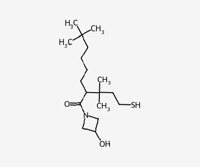 CC(C)(C)CCCCC(C(=O)N1CC(O)C1)C(C)(C)CCS